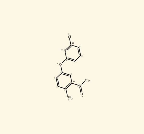 Nc1ccc(Oc2cccc(Cl)n2)cc1[N+](=O)[O-]